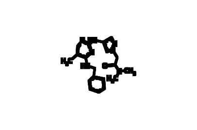 Cc1cnc(Nc2cnn(CC(=O)N(C)C)c2)nc1NCc1ccccc1